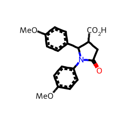 COc1ccc(C2C(C(=O)O)CC(=O)N2c2ccc(OC)cc2)cc1